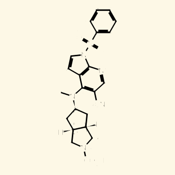 CN(c1c(C#N)cnc2c1ccn2S(=O)(=O)c1ccccc1)[C@H]1C[C@@H]2CN(C(=O)O)C[C@@H]2C1